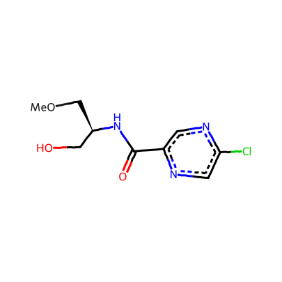 COC[C@H](CO)NC(=O)c1cnc(Cl)cn1